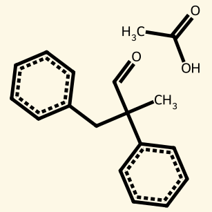 CC(=O)O.CC(C=O)(Cc1ccccc1)c1ccccc1